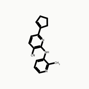 Cc1ncccc1Nc1nc(C2=CCCC2)ccc1C#N